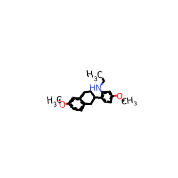 CCNc1cc(OC)ccc1C1CCc2cc(OC)ccc2C1